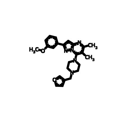 COc1cccc(-c2cc3nc(C)c(C)c(N4CCN(Cc5ccoc5)CC4)n3n2)c1